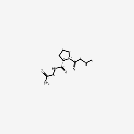 CNCC(=O)N1CCC[C@H]1C(=O)NCC(N)=O